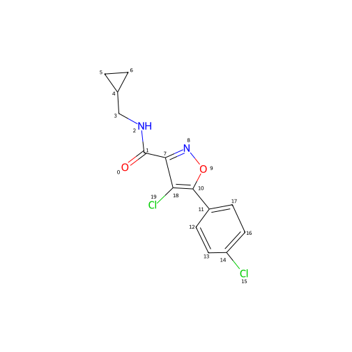 O=C(NCC1CC1)c1noc(-c2ccc(Cl)cc2)c1Cl